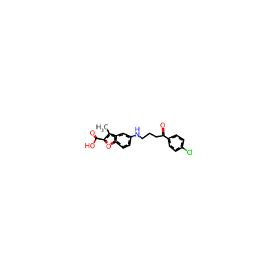 Cc1c(C(=O)O)oc2ccc(NCCCC(=O)c3ccc(Cl)cc3)cc12